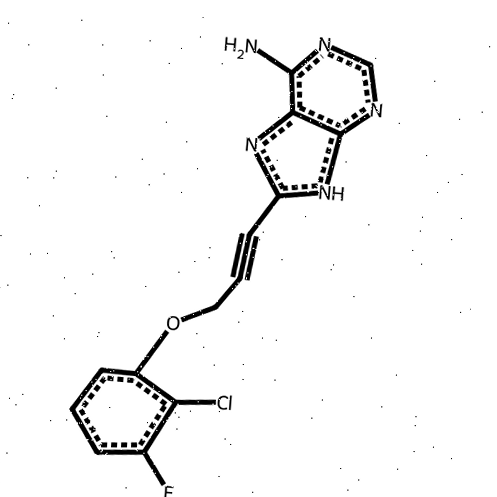 Nc1ncnc2[nH]c(C#CCOc3cccc(F)c3Cl)nc12